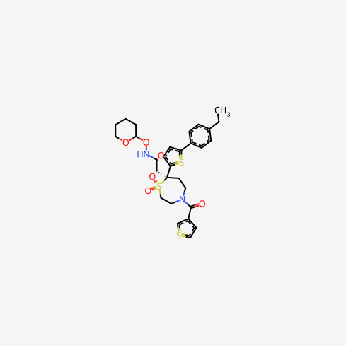 CCc1ccc(-c2ccc([C@@]3(CC(=O)NOC4CCCCO4)CCN(C(=O)c4ccsc4)CCS3(=O)=O)s2)cc1